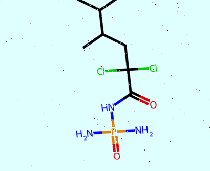 CC(C)C(C)CC(Cl)(Cl)C(=O)NP(N)(N)=O